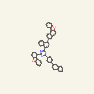 c1ccc2cc(-c3ccc(-c4nc(-c5ccc(-c6ccc7c(ccc8oc9ccccc9c87)c6)c6ccccc56)nc(-c5cccc6oc7ccccc7c56)n4)cc3)ccc2c1